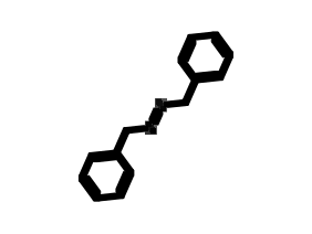 c1ccc(C/N=N/Cc2ccccc2)cc1